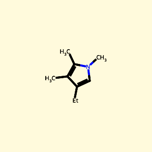 CCc1cn(C)c(C)c1C